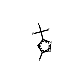 FC(F)(F)c1cc(I)sn1